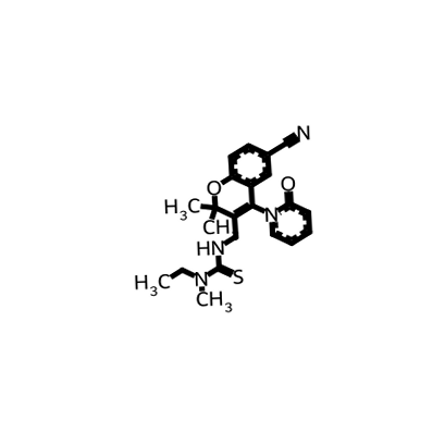 CCN(C)C(=S)NCC1=C(n2ccccc2=O)c2cc(C#N)ccc2OC1(C)C